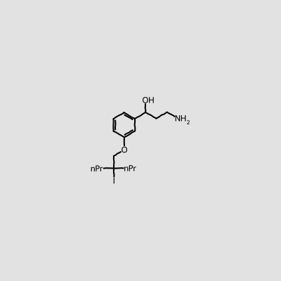 CCCC(I)(CCC)COc1cccc(C(O)CCN)c1